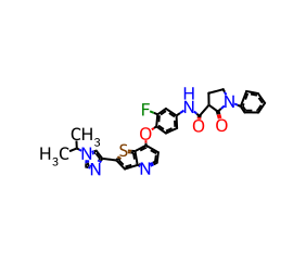 CC(C)n1cnc(-c2cc3nccc(Oc4ccc(NC(=O)C5CCN(c6ccccc6)C5=O)cc4F)c3s2)c1